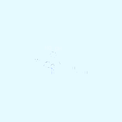 CCc1cc(O)c(O)c(C)c1C(/C=C1\CCC[C@@]2(C)[C@@H]3C[C@](C)(C(=O)O)CC[C@]3(C)CC[C@]12C)c1c[nH]c2ccc(OC)cc12